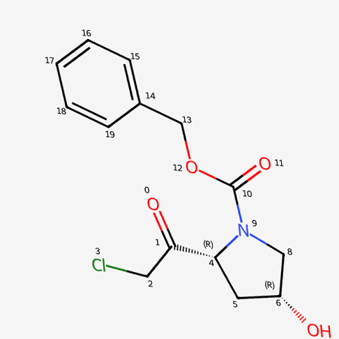 O=C(CCl)[C@H]1C[C@@H](O)CN1C(=O)OCc1ccccc1